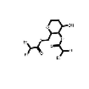 CCC(CC)C(=O)OCC1OCCC(O)C1OC(=O)C(CC)CC